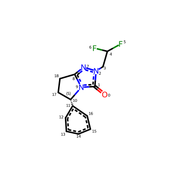 O=c1n(CC(F)F)nc2n1[C@H](c1ccccc1)CC2